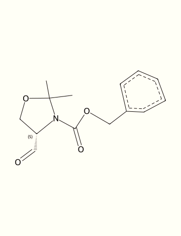 CC1(C)OC[C@@H](C=O)N1C(=O)OCc1ccccc1